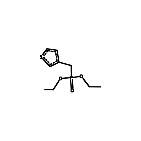 CCOP(=O)(Cc1ccsc1)OCC